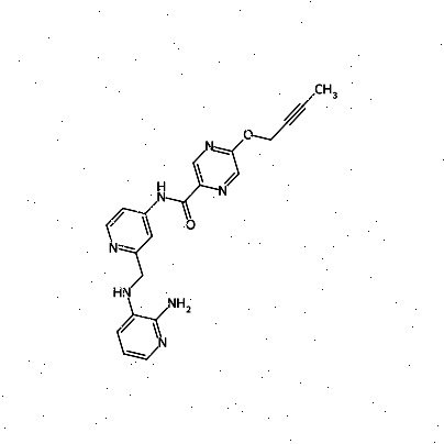 CC#CCOc1cnc(C(=O)Nc2ccnc(CNc3cccnc3N)c2)cn1